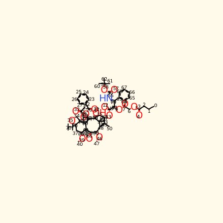 CCCC(=O)OCC(=O)O[C@@H](C(=O)O[C@H]1C[C@@]2(O)[C@@H](OC(=O)c3ccccc3)[C@@H]3[C@]4(OC(C)=O)CO[C@@H]4C[C@H](OC)[C@@]3(C)C(=O)[C@H](OC)C(=C1C)C2(C)C)[C@@H](NC(=O)OC(C)(C)C)c1ccccc1